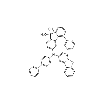 CC1(C)c2ccc(N(c3ccc(-c4ccccc4)cc3)c3ccc4sc5ccccc5c4c3)cc2-c2c(-c3ccccc3)cccc21